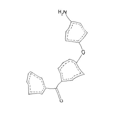 Nc1ccc(Oc2ccc(C(=O)c3ccccc3)cc2)cc1